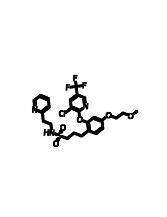 COCCOc1ccc(CCCS(=O)(=O)NCCc2ccccn2)c(Oc2ncc(C(F)(F)F)cc2Cl)c1